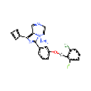 N[N+]12C=CN=CC1=C(C1=CC=C1)N=C2c1cccc(OCc2c(F)cccc2Cl)c1